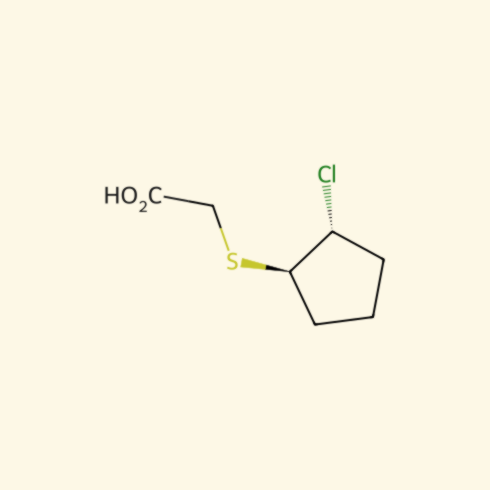 O=C(O)CS[C@@H]1CCC[C@H]1Cl